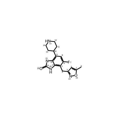 Cc1cc(Cc2c(F)cc(C3CCNCC3)c3c2NC(=O)[N]3)no1